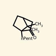 [CH2]CCCCC12CCC(CC1=O)C2(C)C